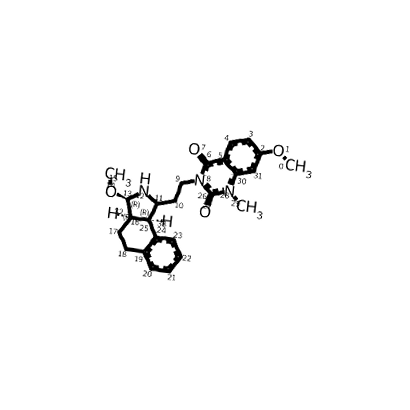 COc1ccc2c(=O)n(CCC3N[C@H](OC)[C@@H]4CCc5ccccc5[C@H]34)c(=O)n(C)c2c1